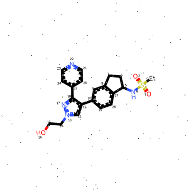 CCS(=O)(=O)NC1CCc2cc(-c3cn(CCO)nc3-c3ccncc3)ccc21